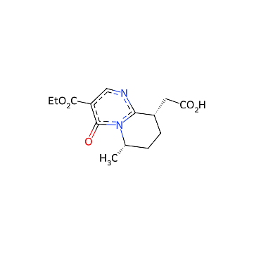 CCOC(=O)c1cnc2n(c1=O)[C@@H](C)CC[C@H]2CC(=O)O